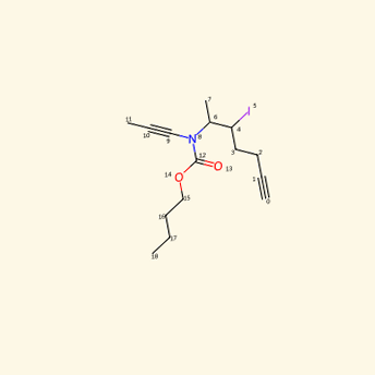 C#CCCC(I)C(C)N(C#CC)C(=O)OCCCC